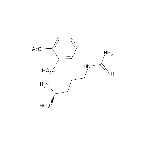 CC(=O)Oc1ccccc1C(=O)O.N=C(N)NCCC[C@H](N)C(=O)O